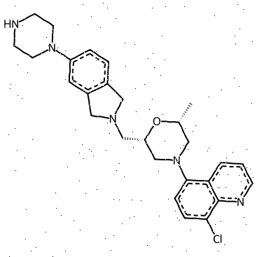 C[C@@H]1CN(c2ccc(Cl)c3ncccc23)C[C@H](CN2Cc3ccc(N4CCNCC4)cc3C2)O1